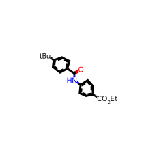 CCOC(=O)c1ccc(NC(=O)c2ccc(C(C)(C)C)cc2)cc1